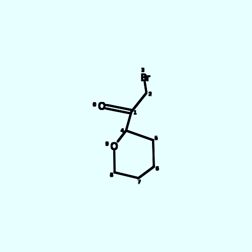 O=C(CBr)C1CCCCO1